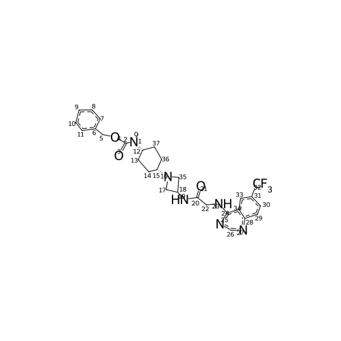 CN(C(=O)OCc1ccccc1)[C@H]1CC[C@@H](N2CC(NC(=O)CNc3ncnc4ccc(C(F)(F)F)cc34)C2)CC1